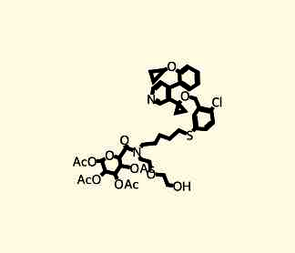 CC(=O)OC1OC(C(=O)N(CCCCCSc2ccc(Cl)c(COC3(c4cnccc4-c4ccccc4OC4CC4)CC3)c2)CCOCCO)C(OC(C)=O)C(OC(C)=O)C1OC(C)=O